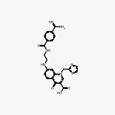 N=C(N)c1ccc(C(=O)NCCNc2ccc3c(=O)c(C(=O)O)cn(Cc4nccs4)c3c2)cc1